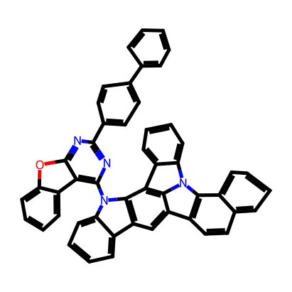 c1ccc(-c2ccc(-c3nc(-n4c5ccccc5c5cc6c7ccc8ccccc8c7n7c8ccccc8c(c54)c67)c4c(n3)oc3ccccc34)cc2)cc1